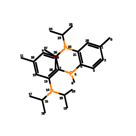 Cc1ccc(P(C)c2ccc(C)cc2P(C(C)C)C(C)C)c(P(C(C)C)C(C)C)c1